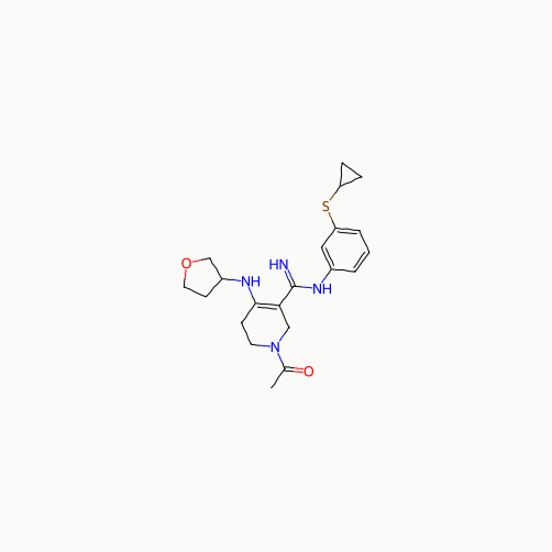 CC(=O)N1CCC(NC2CCOC2)=C(C(=N)Nc2cccc(SC3CC3)c2)C1